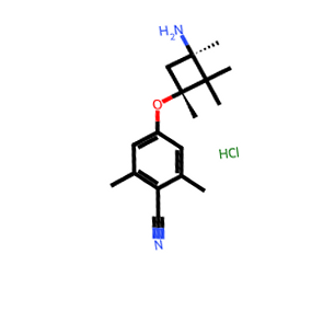 Cc1cc(O[C@]2(C)C[C@@](C)(N)C2(C)C)cc(C)c1C#N.Cl